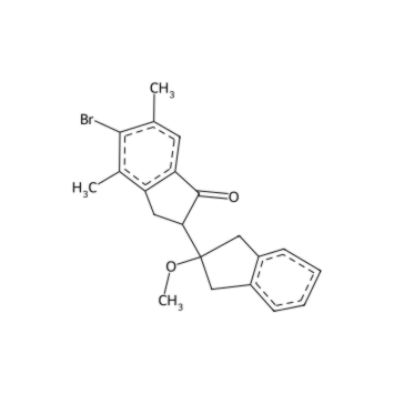 COC1(C2Cc3c(cc(C)c(Br)c3C)C2=O)Cc2ccccc2C1